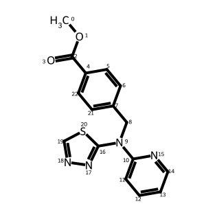 COC(=O)c1ccc(CN(c2ccccn2)c2nncs2)cc1